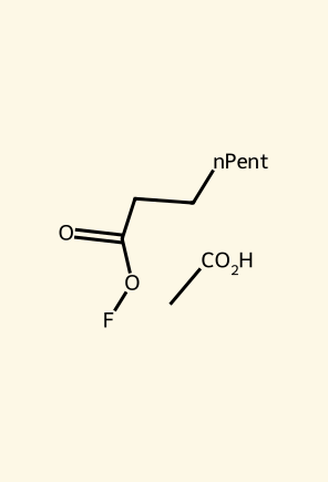 CC(=O)O.CCCCCCCC(=O)OF